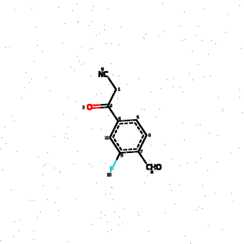 N#CCC(=O)c1ccc(C=O)c(F)c1